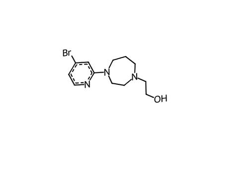 OCCN1CCCN(c2cc(Br)ccn2)CC1